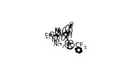 CCOc1nc(N)nc2c1ncn2[C@@H]1O[C@H](CO[P@@]2(=O)OCC[C@@H](c3ccccc3C(F)(F)F)O2)[C@H]2OC(=O)O[C@]21C